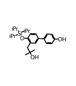 CC(C)[Si](Oc1ccc(-c2ccc(O)cc2)cc1CC(C)(C)O)(C(C)C)C(C)C